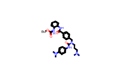 CN(C)CCCN(Cc1ccc(C(=O)Nc2ccccc2NC(=O)OC(C)(C)C)cc1)C(=O)Nc1ccc(N(C)C)cc1